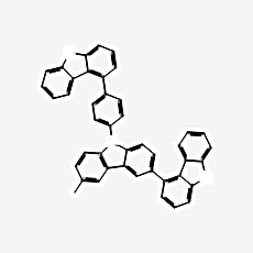 Cc1ccc2c(c1)c1cc(-c3cccc4oc5ccccc5c34)ccc1n2-c1ccc(-c2cccc3oc4ccccc4c23)cc1